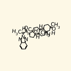 C[C@H](C(=O)[C@H]1CC[C@H]2[C@@H]3CC[C@H]4C[C@](C)(O)CC[C@]4(C)[C@H]3CC[C@]12C)n1nc2ccccc2n1